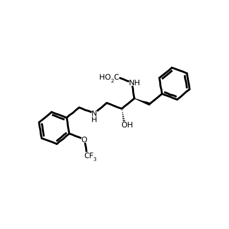 O=C(O)N[C@@H](Cc1ccccc1)[C@H](O)CNCc1ccccc1OC(F)(F)F